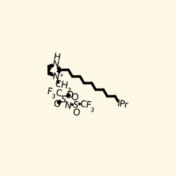 CC(C)CCCCCCCCCc1[nH]cc[n+]1C.O=S(=O)([N-]S(=O)(=O)C(F)(F)F)C(F)(F)F